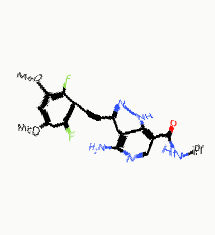 COc1cc(OC)c(F)c(C#Cc2n[nH]c3c(C(=O)NC(C)C)cnc(N)c23)c1F